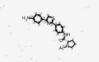 CC(=O)N1CCC[C@H]1C(=O)Nc1ccc(-c2nc(-c3ccc(N)cc3)cs2)cc1